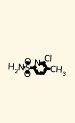 Cc1ccc(S(N)(=O)=O)nc1Cl